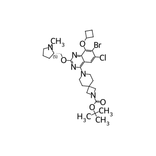 CN1CCC[C@H]1COc1nc(N2CCC3(CC2)CN(C(=O)OC(C)(C)C)C3)c2cc(Cl)c(Br)c(OC3CCC3)c2n1